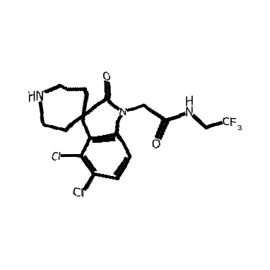 O=C(CN1C(=O)C2(CCNCC2)c2c1ccc(Cl)c2Cl)NCC(F)(F)F